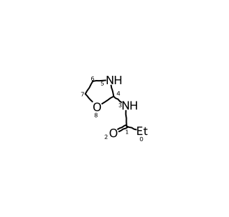 CCC(=O)NC1NCCO1